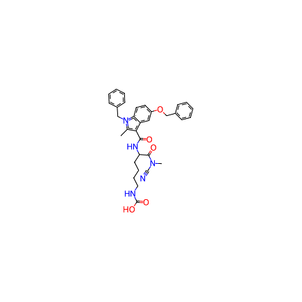 Cc1c(C(=O)NC(CCCCNC(=O)O)C(=O)N(C)C#N)c2cc(OCc3ccccc3)ccc2n1Cc1ccccc1